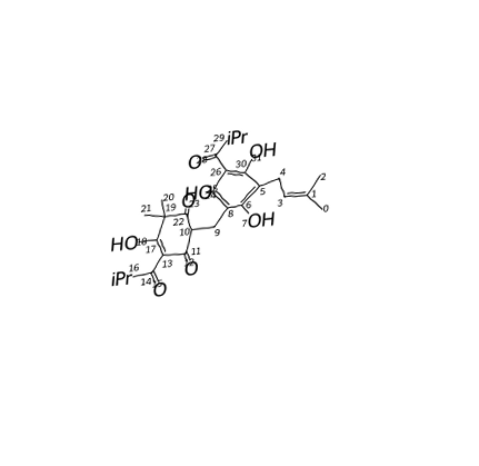 CC(C)=CCc1c(O)c(CC2C(=O)C(C(=O)C(C)C)=C(O)C(C)(C)C2=O)c(O)c(C(=O)C(C)C)c1O